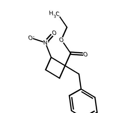 CCOC(=O)C1(Cc2ccccc2)CCC1[N+](=O)[O-]